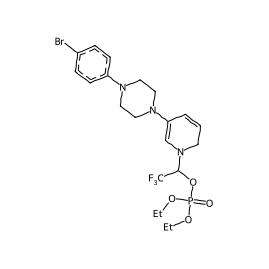 CCOP(=O)(OCC)OC(N1C=C(N2CCN(c3ccc(Br)cc3)CC2)C=CC1)C(F)(F)F